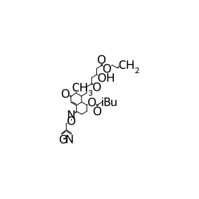 C=CCOC(=O)CC(O)CC(=O)CCC1C(C)C(=O)C=C2C(=NOCc3cnoc3)CCC(OC(=O)C(C)CC)C21